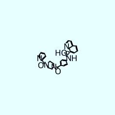 O=C(c1ccc(NP(O)c2cccc3cccnc23)cc1)N1CCN(C(=O)c2ccccn2)CC1